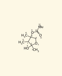 CC1C(C)(O)OCC1(C)OC(=O)C(C)(C)C